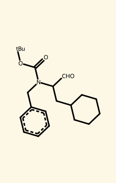 CC(C)(C)OC(=O)N(Cc1ccccc1)C(C=O)CC1CCCCC1